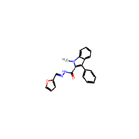 Cn1c(C(=O)NN=Cc2ccco2)c(-c2ccccc2)c2ccccc21